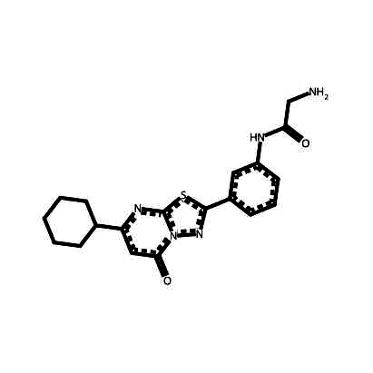 NCC(=O)Nc1cccc(-c2nn3c(=O)cc(C4CCCCC4)nc3s2)c1